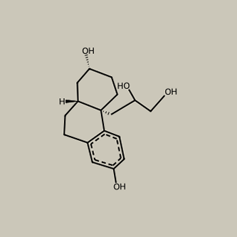 OCC(O)C[C@@]12CC[C@@H](O)C[C@H]1CCc1cc(O)ccc12